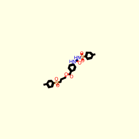 Cc1ccc(S(=O)(=O)CCCOC(=O)c2ccc(NC(=O)NS(=O)(=O)c3ccc(C)cc3)cc2)cc1